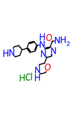 Cl.NC(=O)c1ncc(C2CNCCO2)nc1Nc1ccc(C2CCNCC2)cc1